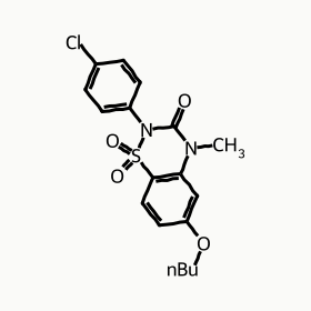 CCCCOc1ccc2c(c1)N(C)C(=O)N(c1ccc(Cl)cc1)S2(=O)=O